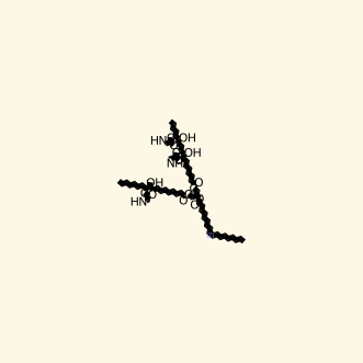 CCCCCCCC/C=C\CCCCCCCC(=O)OC(COC(=O)CCCCCCCC(O)C(CC(OC(=O)C=N)C(O)CCCCC)OC(=O)C=N)COC(=O)CCCCCCCC(OC(=O)C=N)C(O)CCCCCCCC